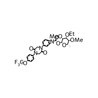 CCO[C@@H]1[C@@H](OC)[C@H](C)O[C@@H](OC(=O)N2c3ccc(N4CC(=O)N(c5ccc(OC(F)(F)F)cc5)CC4=O)cc32)[C@@H]1OC